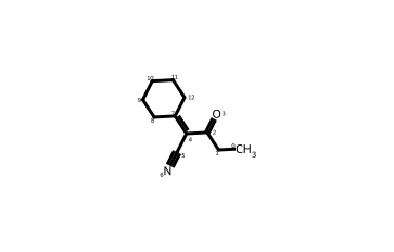 CCC(=O)C(C#N)=C1CCCCC1